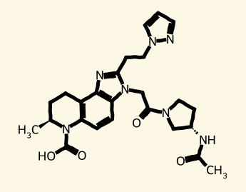 CC(=O)N[C@H]1CCN(C(=O)Cn2c(CCn3cccn3)nc3c4c(ccc32)N(C(=O)O)[C@@H](C)CC4)C1